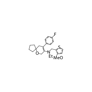 CCN(Cc1sccc1OC)C1=C(c2ccc(F)cc2)CC2(CCCC2)OC1